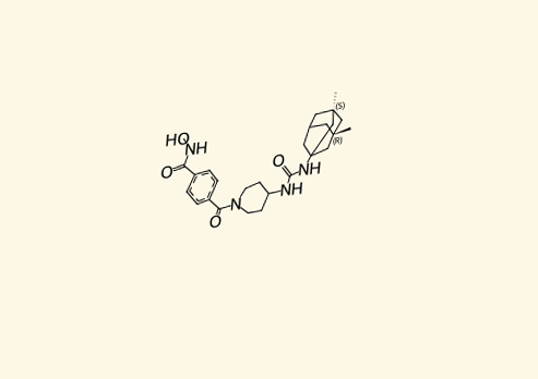 C[C@]12CC3CC(NC(=O)NC4CCN(C(=O)c5ccc(C(=O)NO)cc5)CC4)(C1)C[C@@](C)(C3)C2